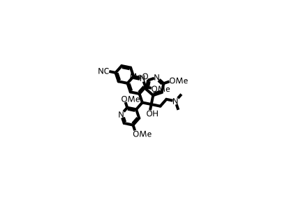 COc1cnc(OC)c(C(c2cc3cc(C#N)ccc3nc2OC)C(O)(CCN(C)C)c2cc(OC)nc(OC)c2)c1